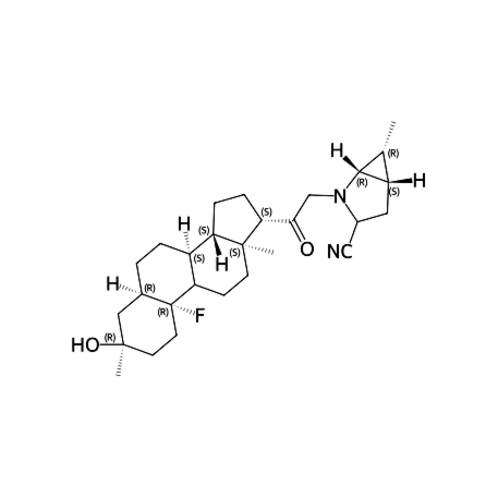 C[C@@H]1[C@@H]2CC(C#N)N(CC(=O)[C@H]3CC[C@H]4[C@@H]5CC[C@@H]6C[C@](C)(O)CC[C@]6(F)C5CC[C@]34C)[C@H]12